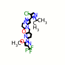 COc1cc(C(F)(F)F)nn1-c1ccc(CN2C(=O)CCn3nc(-c4c(Cl)cnn4C(C)C)cc32)cn1